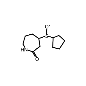 O=C1CC([S+]([O-])C2CCCC2)CCCN1